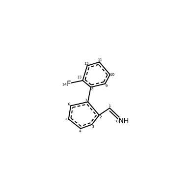 N=Cc1ccccc1-c1ccccc1F